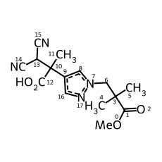 COC(=O)C(C)(C)Cn1cc(C(C)(C(=O)O)C(C#N)C#N)cn1